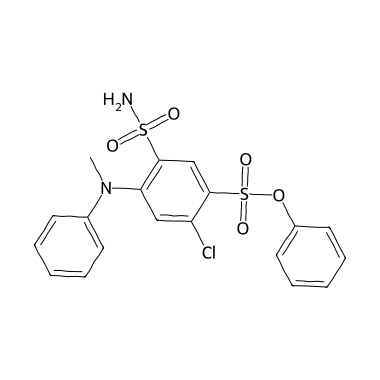 CN(c1ccccc1)c1cc(Cl)c(S(=O)(=O)Oc2ccccc2)cc1S(N)(=O)=O